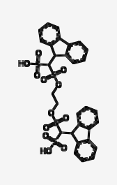 O=S(=O)(O)C(C1c2ccccc2-c2ccccc21)S(=O)(=O)OCCOS(=O)(=O)C(C1c2ccccc2-c2ccccc21)S(=O)(=O)O